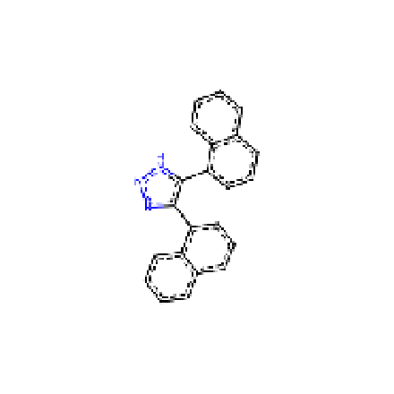 c1ccc2c(-c3nn[nH]c3-c3cccc4ccccc34)cccc2c1